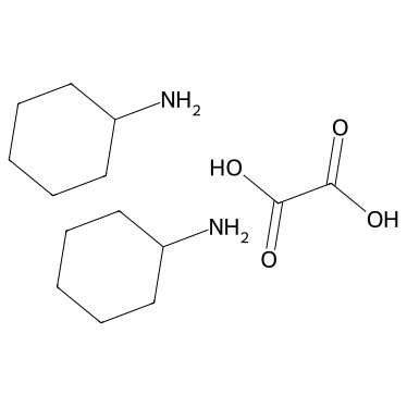 NC1CCCCC1.NC1CCCCC1.O=C(O)C(=O)O